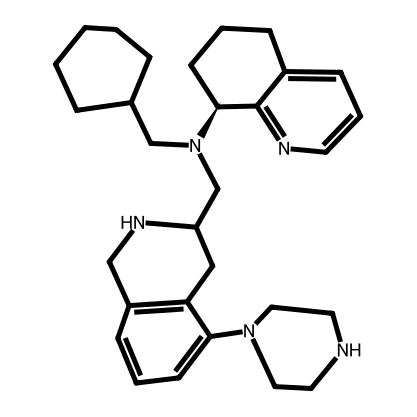 c1cnc2c(c1)CCC[C@@H]2N(CC1CCCCC1)CC1Cc2c(cccc2N2CCNCC2)CN1